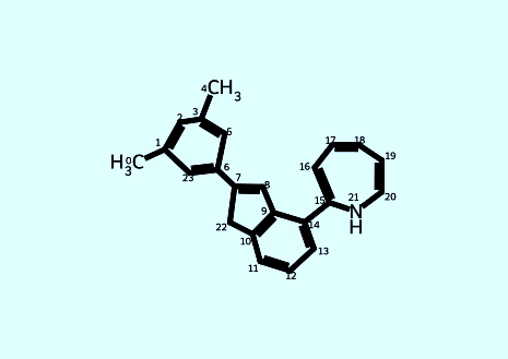 Cc1cc(C)cc(C2=Cc3c(cccc3C3=CC=CC=CN3)C2)c1